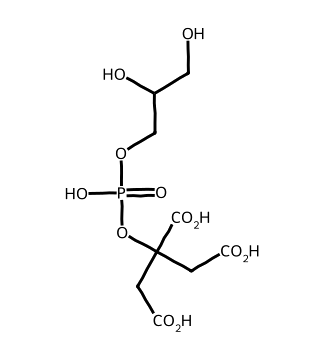 O=C(O)CC(CC(=O)O)(OP(=O)(O)OCC(O)CO)C(=O)O